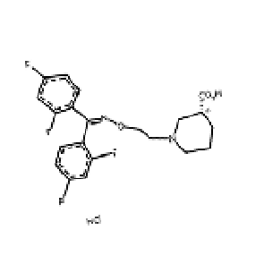 Cl.O=C(O)[C@@H]1CCCN(CCON=C(c2ccc(F)cc2F)c2ccc(F)cc2F)C1